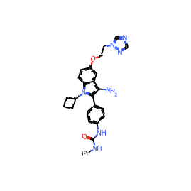 CC(C)NC(=O)Nc1ccc(-c2c(N)c3cc(OCCn4cncn4)ccc3n2C2CCC2)cc1